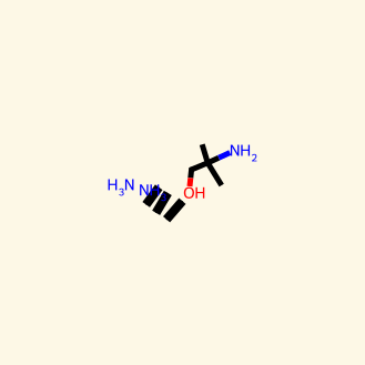 C=C.C=C.C=C.CC(C)(N)CO.N.N